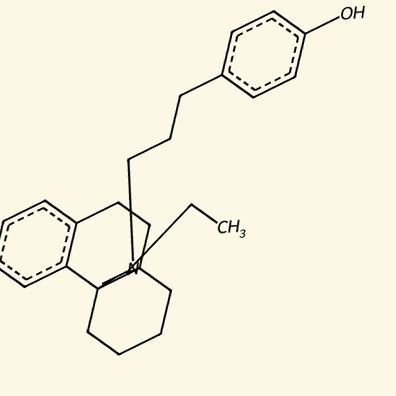 CCC1N(CCCc2ccc(O)cc2)CCC23CCCCC12CCc1ccccc13